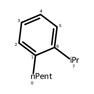 CCCCCc1ccccc1C(C)C